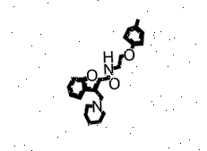 Cc1ccc(OCCNC(=O)c2oc3ccccc3c2CN2CCCCC2)cc1